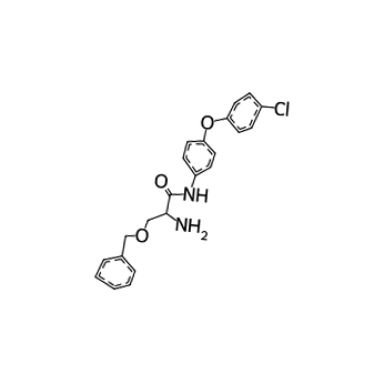 NC(COCc1ccccc1)C(=O)Nc1ccc(Oc2ccc(Cl)cc2)cc1